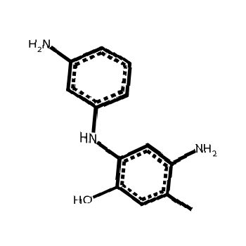 Cc1cc(O)c(Nc2cccc(N)c2)cc1N